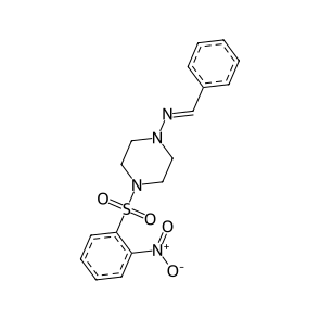 O=[N+]([O-])c1ccccc1S(=O)(=O)N1CCN(N=Cc2ccccc2)CC1